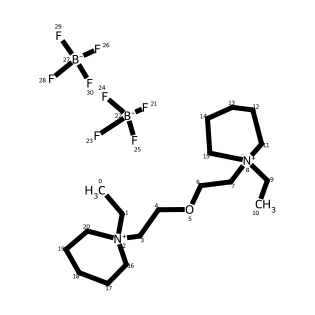 CC[N+]1(CCOCC[N+]2(CC)CCCCC2)CCCCC1.F[B-](F)(F)F.F[B-](F)(F)F